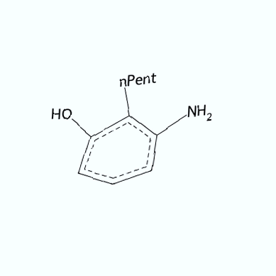 CCCCCc1c(N)cccc1O